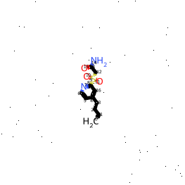 C=CC[CH]c1ccnc(S(=O)(=O)CC(N)=O)c1